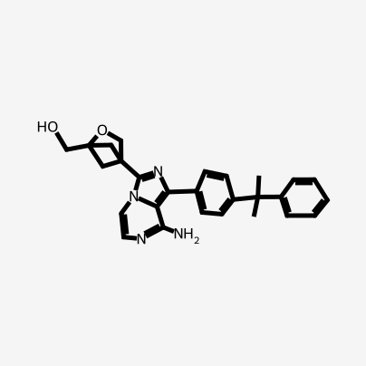 CC(C)(c1ccccc1)c1ccc(-c2nc(C34COC(CO)(C3)C4)n3ccnc(N)c23)cc1